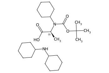 C1CCC(NC2CCCCC2)CC1.C[C@@H](C(=O)O)N(C(=O)OC(C)(C)C)C1CCCCC1